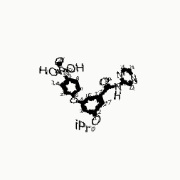 CC(C)Oc1cc(Oc2ccc(P(=O)(O)O)cc2)cc(C(=O)Nc2cnccn2)c1